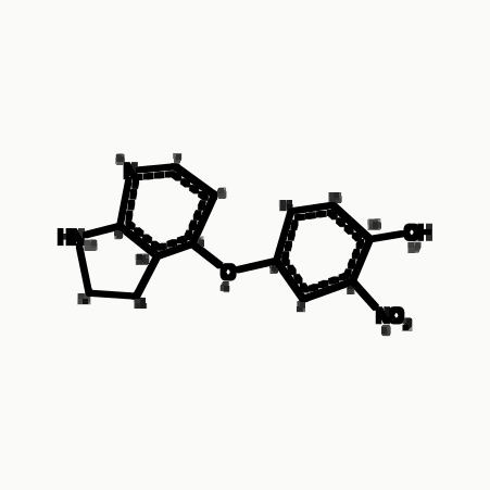 O=[N+]([O-])c1cc(Oc2ccnc3c2CCN3)ccc1O